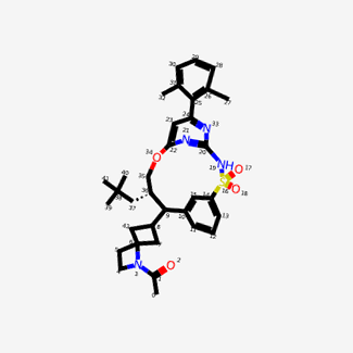 CC(=O)N1CCC12CC(C1c3cccc(c3)S(=O)(=O)Nc3nc(cc(-c4c(C)cccc4C)n3)OC[C@H]1CC(C)(C)C)C2